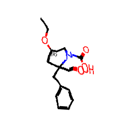 CCO[C@H]1CN(C(=O)O)C(C=O)(Cc2ccccc2)C1